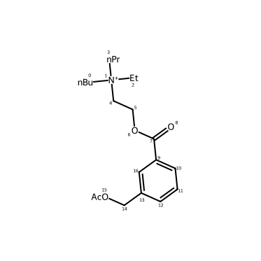 CCCC[N+](CC)(CCC)CCOC(=O)c1cccc(COC(C)=O)c1